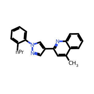 CCCc1ccccc1-n1cc(-c2cc(C)c3ccccc3n2)cn1